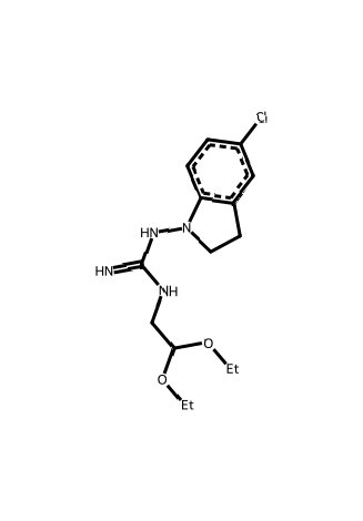 CCOC(CNC(=N)NN1CCc2cc(Cl)ccc21)OCC